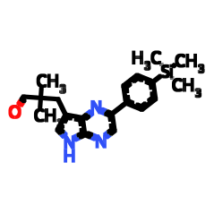 CC(C)(C=O)Cc1c[nH]c2ncc(-c3ccc([Si](C)(C)C)cc3)nc12